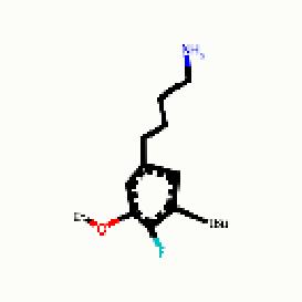 CCOc1cc(CCCCN)cc(C(C)(C)C)c1F